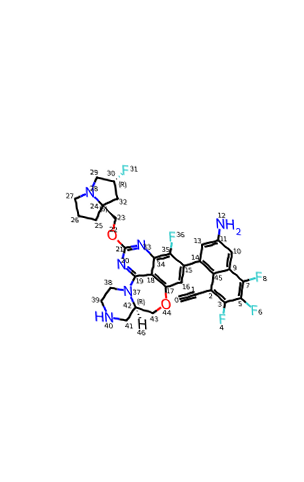 C#Cc1c(F)c(F)c(F)c2cc(N)cc(-c3cc4c5c(nc(OC[C@@]67CCCN6C[C@H](F)C7)nc5c3F)N3CCNC[C@@H]3CO4)c12